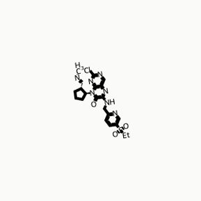 CCS(=O)(=O)c1ccc(CNc2nc3cnc(Cl)nc3n([C@H]3CCC[C@@H]3C=NC)c2=O)nc1